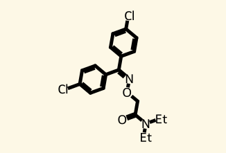 CCN(CC)C(=O)CON=C(c1ccc(Cl)cc1)c1ccc(Cl)cc1